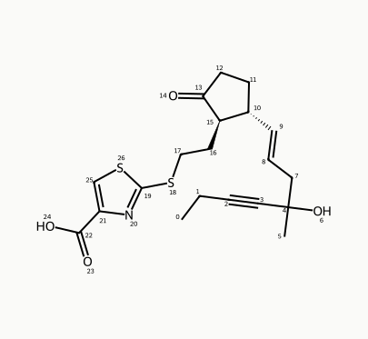 CCC#CC(C)(O)C/C=C/[C@H]1CCC(=O)[C@@H]1CCSc1nc(C(=O)O)cs1